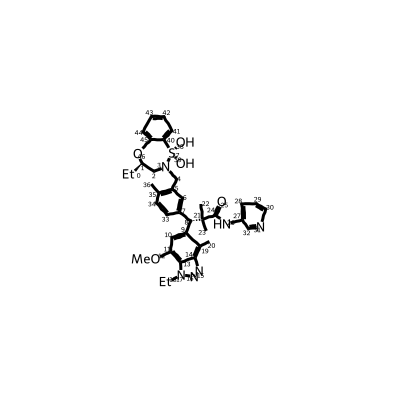 CC[C@@H]1CN(Cc2cc([C@@H](c3cc(OC)c4c(nnn4CC)c3C)C(C)(C)C(=O)Nc3cccnc3)ccc2C)S(O)(O)c2ccccc2O1